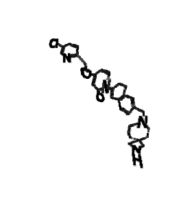 O=c1cc(OCc2ccc(Cl)cn2)ccn1C1=Cc2ccc(CN3CCC4(CC3)CNC4)cc2CC1